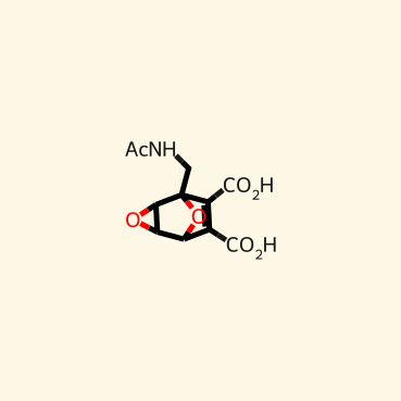 CC(=O)NCC12OC(C(C(=O)O)=C1C(=O)O)C1OC12